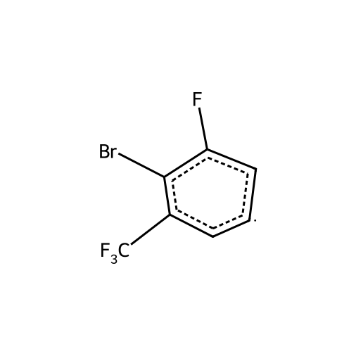 Fc1c[c]cc(C(F)(F)F)c1Br